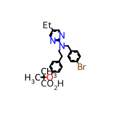 CCc1cnc(N(CCc2ccc(OC(C)(C)C(=O)O)cc2)Cc2ccc(Br)cc2)nc1